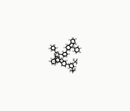 FC(F)(F)c1cc(-c2ccc3c4ccccc4n(-c4ccc(-c5ccc6c7ccccc7n(-c7ccccc7)c6c5)cc4-c4nc(-c5ccccc5)nc(-c5ccccc5)n4)c3c2)cc(C(F)(F)F)c1